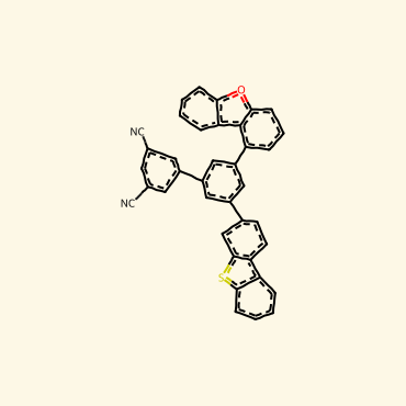 N#Cc1cc(C#N)cc(-c2cc(-c3ccc4c(c3)sc3ccccc34)cc(-c3cccc4oc5ccccc5c34)c2)c1